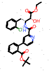 CCOC(=O)[C@H](O)[C@@H](Cc1ccccc1Cl)NC(=O)c1cc(-c2ccccc2C(=O)OC(C)(C)C)ccn1